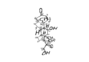 C[C@]12C=CC(=O)C=C1CC[C@@H]1[C@@H]2[C@H](O)C[C@@]2(C)[C@H]1CC[C@]2(O)C(=O)CO